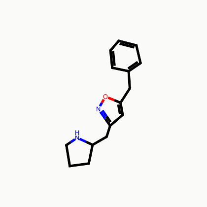 c1ccc(Cc2cc(CC3CCCN3)no2)cc1